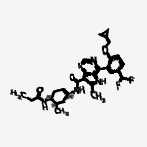 CCC(=O)N[C@H]1CC[C@@H](NC(=O)c2c(C)[nH]c3c(-c4cc(C(F)F)ccc4OCC4CC4)ncnc23)C[C@H]1C